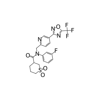 O=C(C1CCCS(=O)(=O)C1)N(Cc1ccc(-c2noc(C(F)(F)F)n2)cn1)c1cccc(F)c1